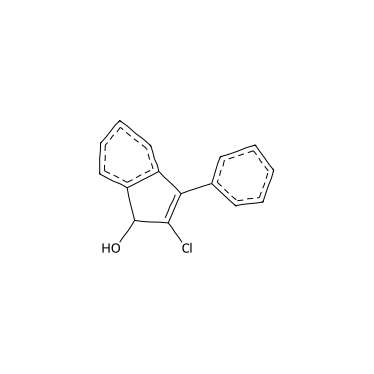 OC1C(Cl)=C(c2ccccc2)c2ccccc21